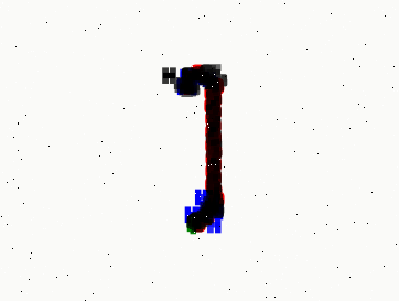 Cc1ccc(C(=O)Nc2ccc(CN3CCN(C(=O)CCOCCOCCOCCOCCOCCOCCOCCOCCOCCOCCOCCOCCOCCOCCOCCOCCNC(=O)C4CCN(c5ncc(C(=O)Nc6ccc(OC(F)(F)Cl)cc6)cc5-c5ccn[nH]5)CC4)CC3)c(C(F)(F)F)c2)cc1C#Cc1cnc2cccnn12